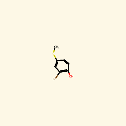 CSc1ccc(O)c(Br)c1